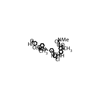 CNC(=O)COc1cc2cc(Nc3nc(N4CCC[C@@H](CCNc5cccc6c([C@H]7CCC(=O)NC7=O)nn(C)c56)C4)ncc3Cl)ccc2n(C)c1=O